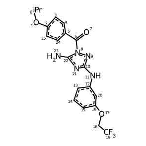 CC(C)Oc1ccc(C(=O)n2nc(Nc3cccc(OCC(F)(F)F)c3)nc2N)cc1